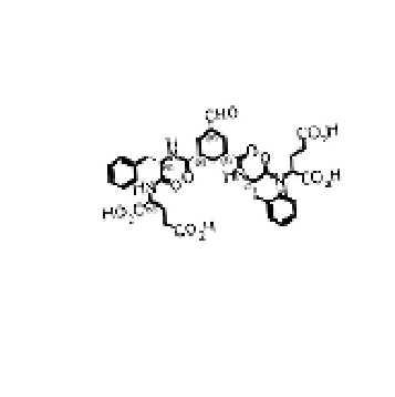 O=C[C@@H]1C[C@H](C(=O)N[C@@H](Cc2ccccc2)C(=O)NC(CCC(=O)O)C(=O)O)C[C@H](C(=O)N[C@@H](Cc2ccccc2)C(=O)N[C@@H](CCC(=O)O)C(=O)O)C1